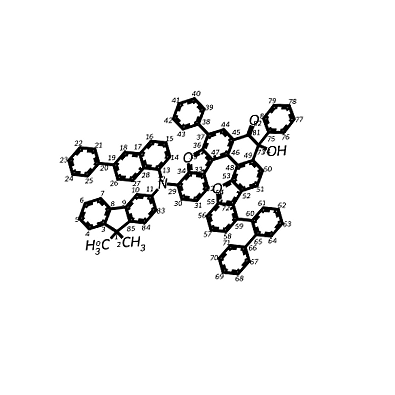 CC1(C)c2ccccc2-c2cc(N(c3cccc4cc(-c5ccccc5)ccc34)c3cccc4c3oc3c(-c5ccccc5)cc5c(c34)-c3c(ccc4c3oc3cccc(-c6ccccc6-c6ccccc6)c34)C(O)(c3ccccc3)C5=O)ccc21